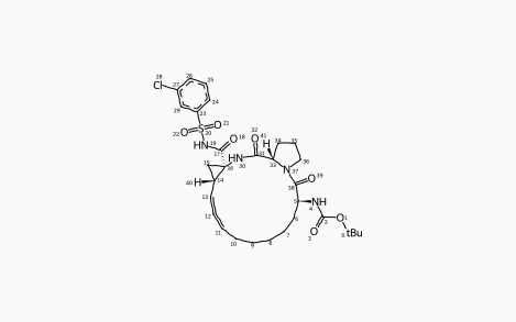 CC(C)(C)OC(=O)N[C@H]1CCCCCC=C=C[C@@H]2C[C@@]2(C(=O)NS(=O)(=O)c2cccc(Cl)c2)NC(=O)[C@@H]2CCCN2C1=O